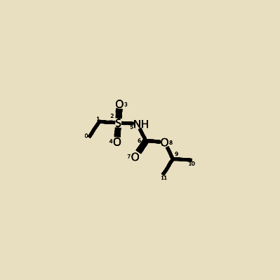 CCS(=O)(=O)NC(=O)OC(C)C